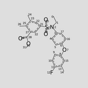 CCN(c1ccc(Oc2ccc(F)c(C)c2)cc1)S(=O)(=O)c1cc(C)c(C)c(C(=O)OC)c1